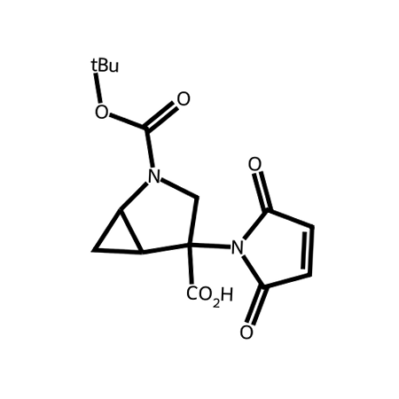 CC(C)(C)OC(=O)N1CC(C(=O)O)(N2C(=O)C=CC2=O)C2CC21